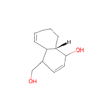 OCC1C=CC(O)[C@H]2CCC=CC12